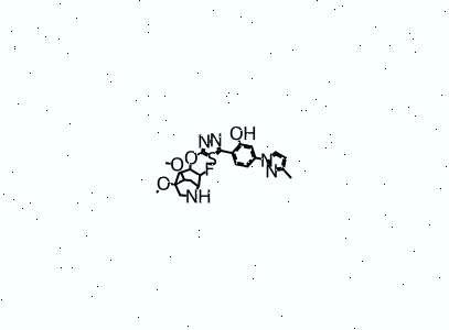 COC1CC2NCC1(OC)CC(Oc1nnc(-c3ccc(-n4ccc(C)n4)cc3O)s1)C2F